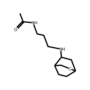 CC(=O)NCCCNC1CC2CCC1CC2